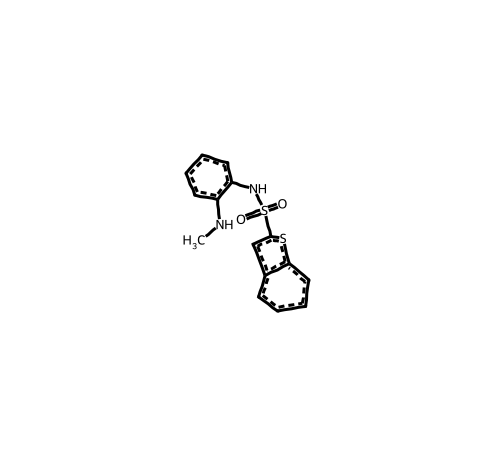 CNc1ccccc1NS(=O)(=O)c1cc2ccccc2s1